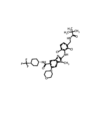 Cn1c(Nc2c(Cl)ccc(CNC(=O)C(C)(C)C)c2Cl)nc2cc(C(=O)N[C@H]3CC[C@H](C(F)(F)F)CC3)c(N3CCOCC3)cc21